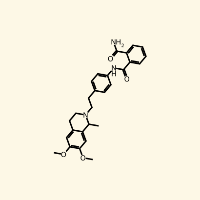 COc1cc2c(cc1OC)C(C)N(CCc1ccc(NC(=O)c3ccccc3C(N)=O)cc1)CC2